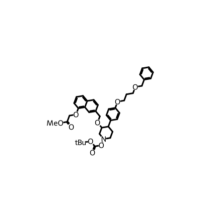 COC(=O)COc1cccc2ccc(COC3CN(OC(=O)OC(C)(C)C)CCC3c3ccc(OCCCOCc4ccccc4)cc3)cc12